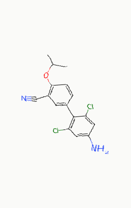 CC(C)Oc1ccc(-c2c(Cl)cc(N)cc2Cl)cc1C#N